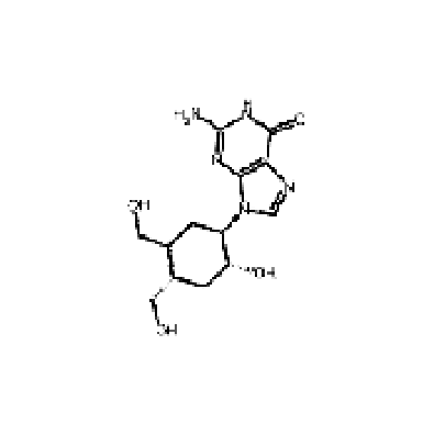 Nc1nc2c(ncn2[C@@H]2C[C@H](CO)[C@@H](CO)C[C@H]2O)c(=O)[nH]1